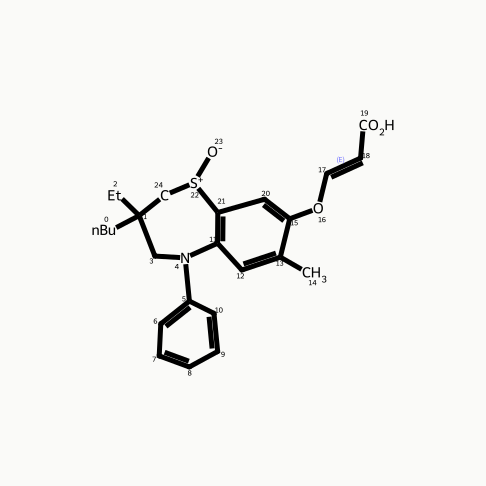 CCCCC1(CC)CN(c2ccccc2)c2cc(C)c(O/C=C/C(=O)O)cc2[S+]([O-])C1